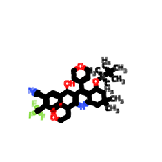 CC1(C)Cc2nc(C3CCOCC3)c([C@@H](O)c3ccc(C(F)(F)F)c(C#N)c3)c(C3=CCOCC3)c2C(O[Si](C)(C)C(C)(C)C)C1